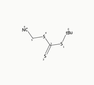 CC(C)(C)SC(=S)SCC#N